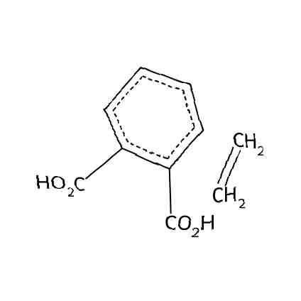 C=C.O=C(O)c1ccccc1C(=O)O